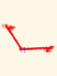 CC[C@@H](O)[C@@H](O)[C@H](O)[C@@H](O)CN(CCOCCOCCOCCOCCOCCOCCOCCOCCOCCOCCOCCOCCC(=O)NCCCC[C@H](NC(=O)CCOCCOCCOCCOCCOCCOCCOCCOCCOCCOCCOCCOCCN(C[C@H](O)[C@@H](O)[C@H](O)[C@H](O)CO)C[C@H](O)[C@@H](O)[C@H](O)[C@H](O)CO)C(C)=O)C[C@H](O)[C@@H](O)[C@H](O)[C@H](O)CO